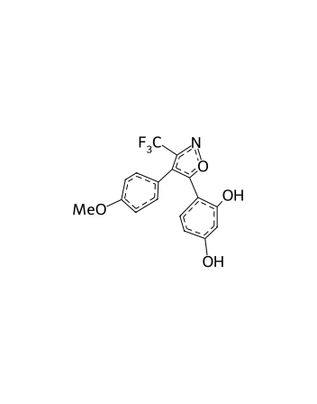 COc1ccc(-c2c(C(F)(F)F)noc2-c2ccc(O)cc2O)cc1